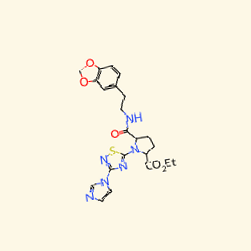 CCOC(=O)C1CCC(C(=O)NCCc2ccc3c(c2)OCO3)N1c1nc(-n2ccnc2)ns1